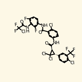 O=C(Nc1ccc(F)c(NC(=O)C(F)(F)Cl)c1F)c1cc(NC(=O)[C@H]2[C@H](c3ccc(Cl)c(C(F)(F)F)c3)C2(Cl)Cl)ccc1Cl